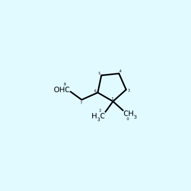 CC1(C)CCCC1CC=O